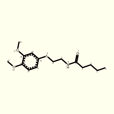 CCCCC(=O)NCCSc1ccc(OC)c(OC)c1